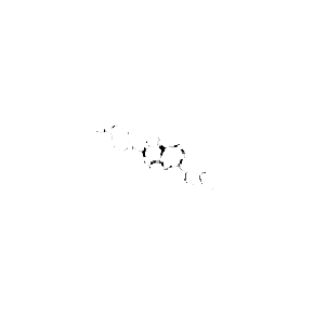 CN1CCN(c2nc3cc(C(=O)O)ccc3o2)CC1